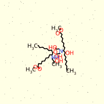 CCCCCCCCC(O)C(CCCCCCCC(=O)OC)N(CCO)CC(O)OC(CCCCCCCC)C(CCCCCCCC(=O)OC)NCC(C)O